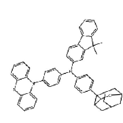 CC1(C)c2ccccc2-c2ccc(N(c3ccc(C4CC5CC6CC(C5)CC4C6)cc3)c3ccc(N4c5ccccc5Sc5ccccc54)cc3)cc21